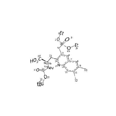 CCOP(=O)(Cc1cc2cc(C)c(C)cc2nc1C[C@@H](NC(=O)OC(C)(C)C)C(=O)O)OCC